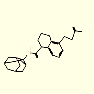 O=C(O)CCc1cccc2c1CCCC2C(=O)NC1C2CC3CC(C2)CC1C3